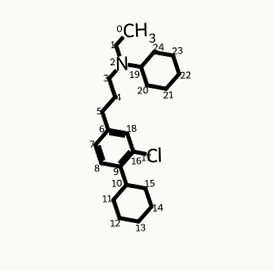 CCN(CCCc1ccc(C2CCCCC2)c(Cl)c1)C1CCCCC1